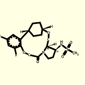 CS(=O)(=O)N[C@H]1CCN2C(=O)COc3c(F)cc(F)cc3[C@H]3CC[C@H](CC3)OC[C@@H]12